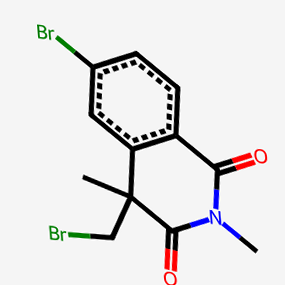 CN1C(=O)c2ccc(Br)cc2C(C)(CBr)C1=O